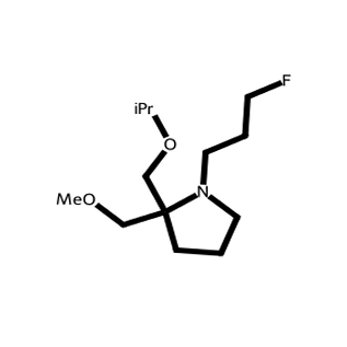 COCC1(COC(C)C)CCCN1CCCF